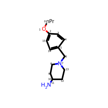 CCCOc1ccc(CN2CCC(N)CC2)cc1